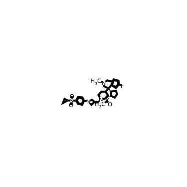 CC(=O)O[C@H]1CCC[C@@H]1C1(C2CCN(CC3CN(c4ccc(S(=O)(=O)C5CC5)cc4)C3)CC2)CN(C)Cc2ccc(F)cc21